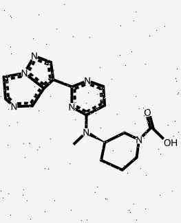 CN(c1ccnc(-c2cnn3ccncc23)n1)[C@@H]1CCCN(C(=O)O)C1